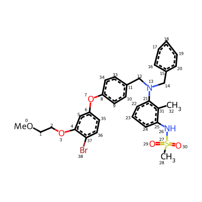 COCCOc1cc(Oc2ccc(CN(Cc3ccccc3)c3cccc(NS(C)(=O)=O)c3C)cc2)ccc1Br